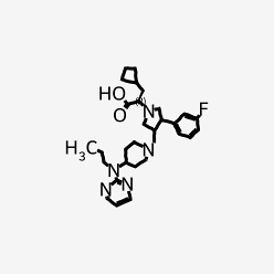 CCCN(c1ncccn1)C1CCN(CC2CN([C@H](CC3CCC3)C(=O)O)CC2c2cccc(F)c2)CC1